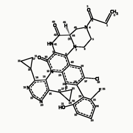 C=CC(=O)N1CCN2c3c(c(=O)n(-c4c(C5CC5)ncnc4C4CC4)c4c(F)c(-c5c(O)cccc5F)c(Cl)cc34)NC(=O)[C@H]2C1